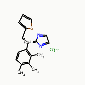 Cc1cc[c]([Ru+2](=[CH]c2cccs2)=[C]2N=CC=N2)c(C)c1C.[Cl-].[Cl-]